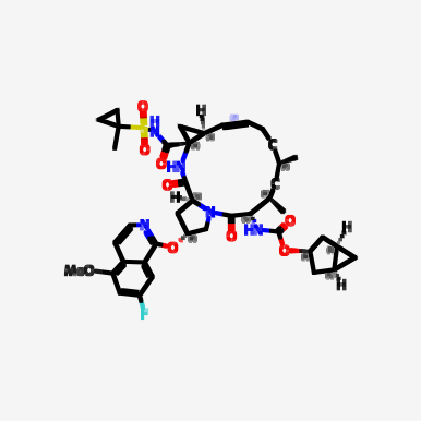 COc1cc(F)cc2c(O[C@@H]3C[C@H]4C(=O)N[C@]5(C(=O)NS(=O)(=O)C6(C)CC6)C[C@H]5/C=C\CC[C@@H](C)C[C@@H](C)[C@H](NC(=O)O[C@@H]5C[C@@H]6C[C@@H]6C5)C(=O)N4C3)nccc12